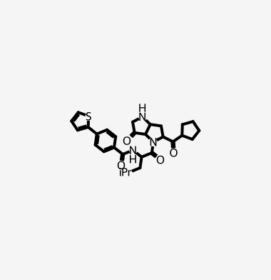 CC(C)CC(NC(=O)c1ccc(-c2cccs2)cc1)C(=O)N1C(C(=O)C2CCCC2)CC2NCC(=O)C21